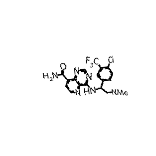 CNCC(Nc1ncnc2c(C(N)=O)ccnc12)c1ccc(Cl)c(C(F)(F)F)c1